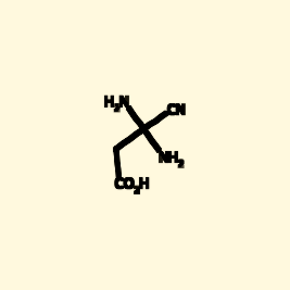 N#CC(N)(N)CC(=O)O